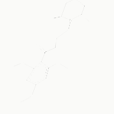 COc1cc(OC)c(C(=O)CCCN2C(C)CCCC2C)c(OC)c1